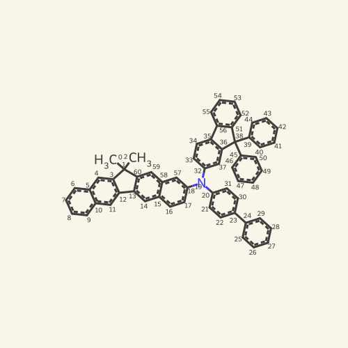 CC1(C)c2cc3ccccc3cc2-c2cc3ccc(N(c4ccc(-c5ccccc5)cc4)c4ccc5c(c4)C(c4ccccc4)(c4ccccc4)c4ccccc4-5)cc3cc21